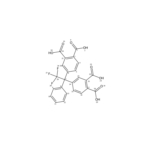 O=C(O)c1ccc(C(c2ccccc2)(c2ccc(C(=O)O)c(C(=O)O)c2)C(F)(F)F)cc1C(=O)O